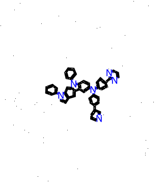 c1ccc(-n2ccc3cc4c5cc(N(c6ccc(-c7cccnc7)cc6)c6ccc(-c7ncccn7)cc6)ccc5n(-c5ccccc5)c4cc32)cc1